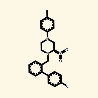 Cc1ccc(N2CCN(Cc3ccccc3-c3ccc(Cl)cc3)C(=S(=O)=O)C2)cc1